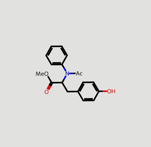 COC(=O)C(Cc1ccc(O)cc1)N(C(C)=O)c1ccccc1